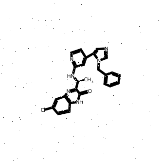 C[C@H](Nc1cc(-c2cncn2Cc2ccccc2)ccn1)c1nc2cc(Cl)ccc2[nH]c1=O